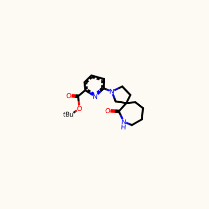 CC(C)(C)OC(=O)c1cccc(N2CCC3(CCCCNC3=O)C2)n1